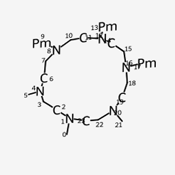 CN1CCN(C)CC[N]([Pm])CC[N]([Pm])CC[N]([Pm])CCN(C)CC1